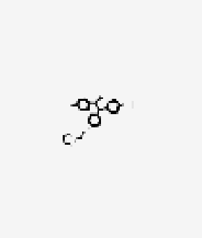 Oc1ccc2c(c1)OCC(c1ccc(Cl)cc1)C2c1ccc(OCCN2CCCC2)cc1